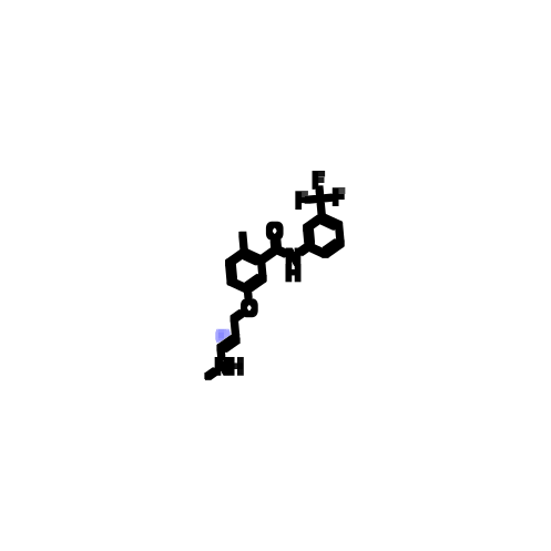 CN/C=C/COc1ccc(C)c(C(=O)Nc2cccc(C(F)(F)F)c2)c1